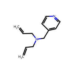 C=CCN(CC=C)Cc1c[c]ncc1